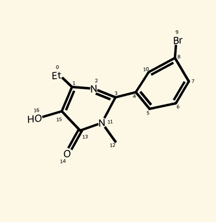 CCc1nc(-c2cccc(Br)c2)n(C)c(=O)c1O